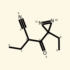 CCC(C#N)C(=O)C1(CC)N=N1